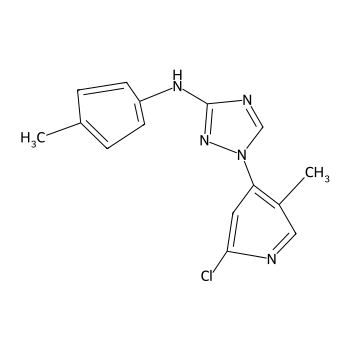 Cc1ccc(Nc2ncn(-c3cc(Cl)ncc3C)n2)cc1